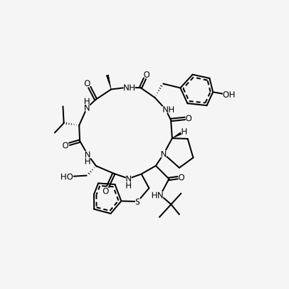 CC(C)[C@@H]1NC(=O)[C@@H](C)NC(=O)[C@H](Cc2ccc(O)cc2)NC(=O)[C@@H]2CCCN2C(C(=O)NC(C)(C)C)C(CSc2ccccc2)NC(=O)[C@H](CO)NC1=O